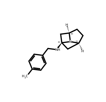 Cc1ccc(CN[C@]23C[C@H]4CC[C@@H](C2)N43)cc1